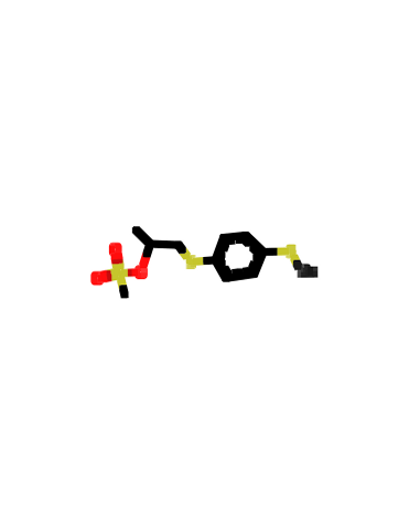 CCC(C)Sc1ccc(SCC(C)OS(C)(=O)=O)cc1